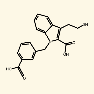 O=C(O)c1cccc(Cn2c(C(=O)O)c(CCS)c3ccccc32)c1